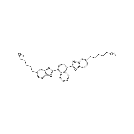 CCCCCCc1ccc2oc(-c3ccc(-c4nc5cc(CCCCCC)ccc5o4)c4ccccc34)nc2c1